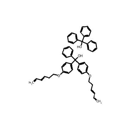 C=CC=CCCOc1ccc(C(O)(c2ccccc2)c2ccc(OCCC=CC=C)cc2)cc1.OC(c1ccccc1)(c1ccccc1)c1ccccc1